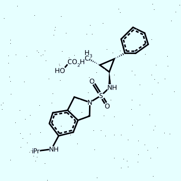 CC(C)Nc1ccc2c(c1)CN(S(=O)(=O)N[C@H]1[C@H](C)[C@@H]1c1ccccc1)C2.O=C(O)O